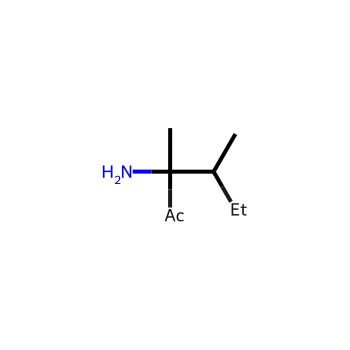 CCC(C)C(C)(N)C(C)=O